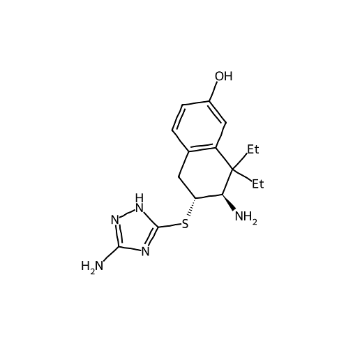 CCC1(CC)c2cc(O)ccc2C[C@@H](Sc2nc(N)n[nH]2)[C@@H]1N